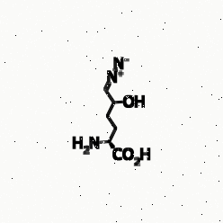 [N-]=[N+]=CC(O)CC[C@H](N)C(=O)O